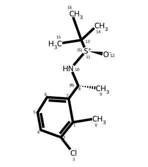 Cc1c(Cl)cccc1[C@@H](C)N[S@+]([O-])C(C)(C)C